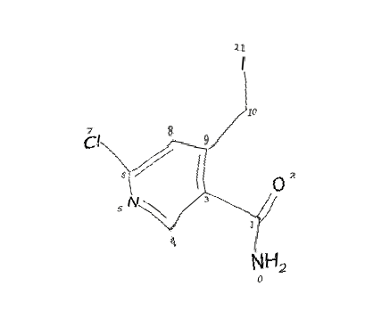 NC(=O)c1cnc(Cl)cc1CI